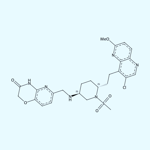 COc1ccc2ncc(Cl)c(CC[C@H]3CC[C@H](NCc4ccc5c(n4)NC(=O)CO5)CN3S(C)(=O)=O)c2n1